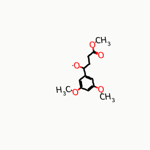 COC(=O)CCC([O])c1cc(OC)cc(OC)c1